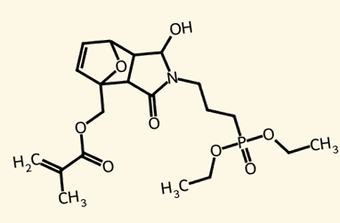 C=C(C)C(=O)OCC12C=CC(O1)C1C(O)N(CCCP(=O)(OCC)OCC)C(=O)C12